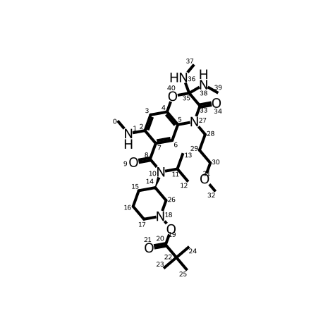 CNc1cc2c(cc1C(=O)N(C(C)C)[C@@H]1CCCN(OC(=O)C(C)(C)C)C1)N(CCCOC)C(=O)C(NC)(NC)O2